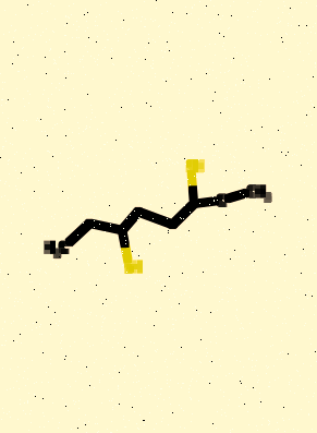 CCC(S)CCC(S)CC